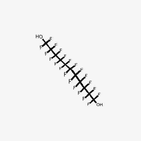 OC(F)(F)C(F)(F)C(F)(F)C(F)(F)C(F)(F)C(F)(F)C(F)(F)C(F)(F)C(F)(F)C(F)(F)C(O)(F)F